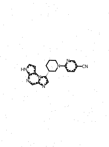 N#Cc1ccc(N2CCC[C@@H](c3cnc4cnc5[nH]ccc5n34)C2)nc1